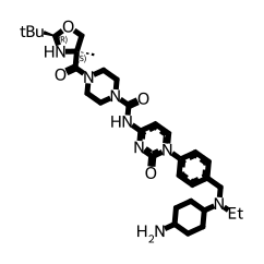 CCN(Cc1ccc(-n2ccc(NC(=O)N3CCN(C(=O)[C@]4(C)CO[C@H](C(C)(C)C)N4)CC3)nc2=O)cc1)C1CCC(N)CC1